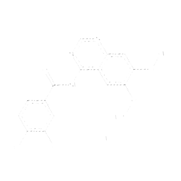 COc1cc2ncnc(NC(=O)c3ccc(Cl)c(O)c3)c2cc1OC.Cl